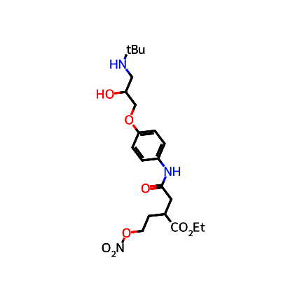 CCOC(=O)C(CCO[N+](=O)[O-])CC(=O)Nc1ccc(OCC(O)CNC(C)(C)C)cc1